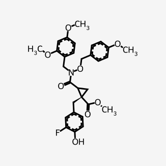 COC(=O)[C@@]1(Cc2ccc(O)c(F)c2)CC1C(=O)N(Cc1ccc(OC)cc1OC)OCc1ccc(OC)cc1